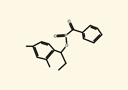 CCC(O[P](=O)C(=O)c1ccccc1)c1ccc(C)cc1C